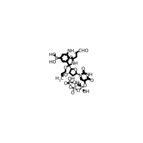 C=CCOC(NC(=O)CCC=O)(c1cc(N)cc(B(O)O)c1)[C@H]1O[C@@H](n2cc(OP(=O)(O)OP(=O)(O)OP(=O)(O)O)c(=O)[nH]c2=O)C[C@@H]1O